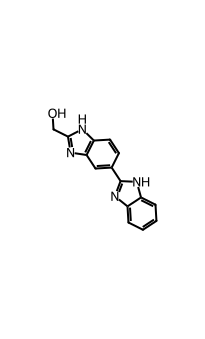 OCc1nc2cc(-c3nc4ccccc4[nH]3)ccc2[nH]1